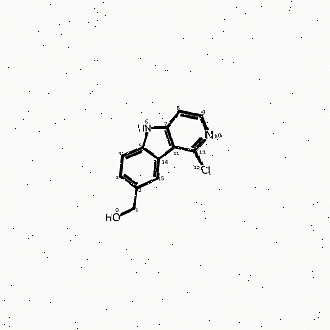 OCc1ccc2[nH]c3ccnc(Cl)c3c2c1